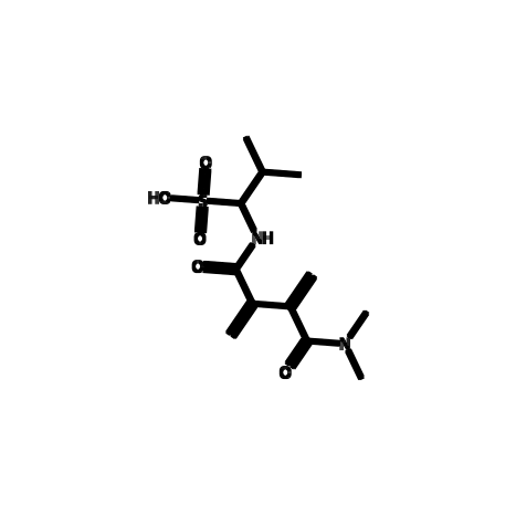 C=C(C(=C)C(=O)N(C)C)C(=O)NC(C(C)C)S(=O)(=O)O